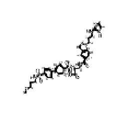 COCCCNS(=O)(=O)c1ccc(-c2ccc(S(=O)(=O)N[C@@H](CNC(=O)c3ccc4c(cnn4CCCNc4ncc[nH]4)c3)C(=O)O)cc2)cc1